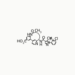 Cc1c(C(=O)NC2CCCC(C)C(=O)Nc3ccc(C(=O)O)cc3-c3ccnc2c3)cnn1-c1cccc(Cl)c1F